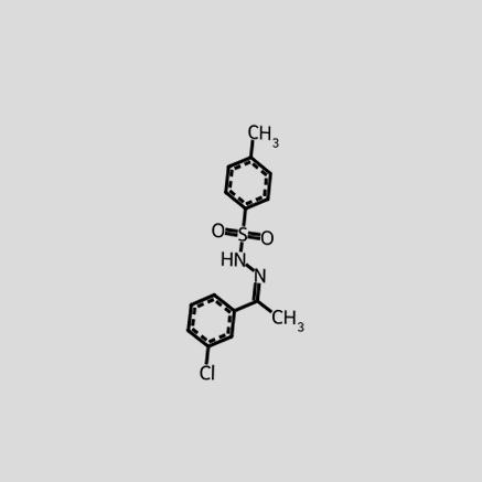 CC(=NNS(=O)(=O)c1ccc(C)cc1)c1cccc(Cl)c1